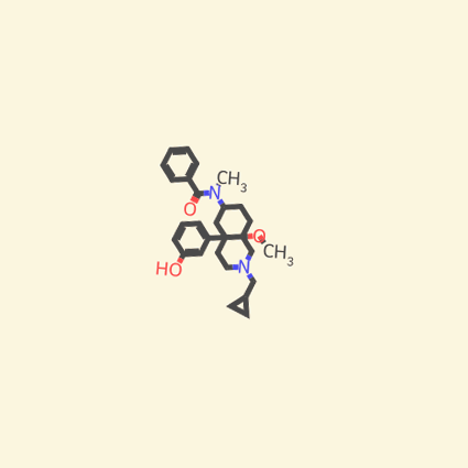 COC12CCC(N(C)C(=O)c3ccccc3)CC1(c1cccc(O)c1)CCN(CC1CC1)C2